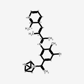 C=C(c1cc(CC)c(C)c(/N=C(C)/C(C)=C/c2cccnc2C)c1)N1CC2C3C1N23